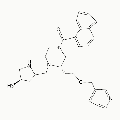 O=C(c1cccc2ccccc12)N1CCN(CC2C[C@@H](S)CN2)[C@@H](CCOCc2cccnc2)C1